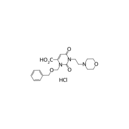 Cl.O=C(O)c1cc(=O)n(CCN2CCOCC2)c(=O)n1COCc1ccccc1